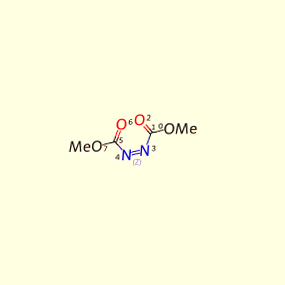 COC(=O)/N=N\C(=O)OC